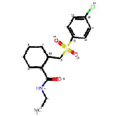 N#CCNC(=O)C1CCCCC1CS(=O)(=O)c1ccc(Cl)cc1